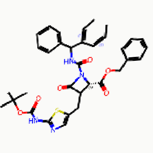 C/C=C\C(=C/C)C(NC(=O)N1C(=O)C(Cc2cnc(NC(=O)OC(C)(C)C)s2)[C@H]1C(=O)OCc1ccccc1)c1ccccc1